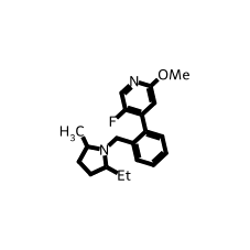 CCC1CCC(C)N1Cc1ccccc1-c1cc(OC)ncc1F